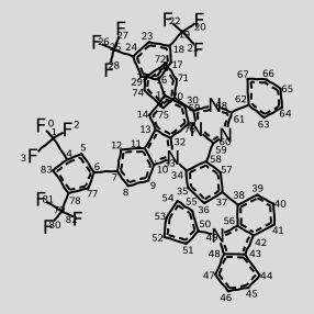 FC(F)(F)c1cc(-c2ccc3c(c2)c2cc(-c4cc(C(F)(F)F)cc(C(F)(F)F)c4)ccc2n3-c2ccc(-c3cccc4c5ccccc5n(-c5ccccc5)c34)cc2-c2nc(-c3ccccc3)nc(-c3ccccc3)n2)cc(C(F)(F)F)c1